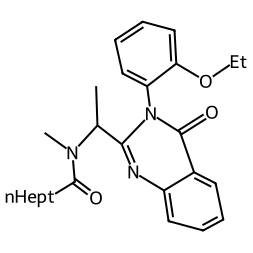 CCCCCCCC(=O)N(C)C(C)c1nc2ccccc2c(=O)n1-c1ccccc1OCC